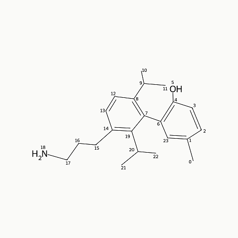 Cc1ccc(O)c(-c2c(C(C)C)ccc(CCCN)c2C(C)C)c1